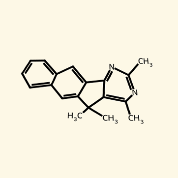 Cc1nc(C)c2c(n1)-c1cc3ccccc3cc1C2(C)C